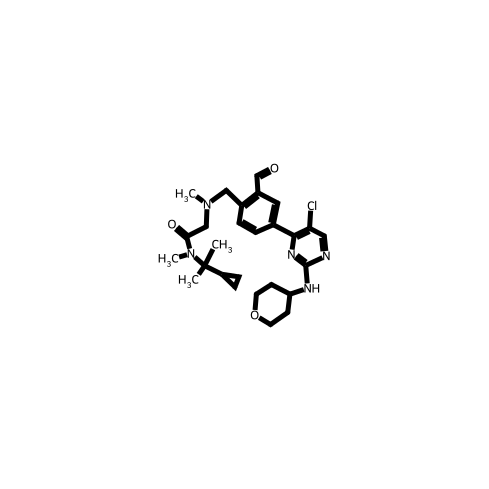 CN(CC(=O)N(C)C(C)(C)C1CC1)Cc1ccc(-c2nc(NC3CCOCC3)ncc2Cl)cc1C=O